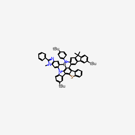 Cn1c(-c2ccccc2)nc2cc3c(cc21)-n1c2ccc(C(C)(C)C)cc2c2c4sc5ccccc5c4c4c(c21)B3N(c1ccc(C(C)(C)C)cc1)c1cc2c(cc1-4)-c1cc(C(C)(C)C)ccc1C2(C)C